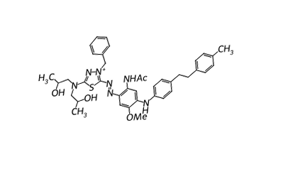 COc1cc(N=Nc2sc(N(CC(C)O)CC(C)O)n[n+]2Cc2ccccc2)c(NC(C)=O)cc1Nc1ccc(CCc2ccc(C)cc2)cc1